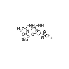 C[C@H]1CN/C(=C(\C=N)N2CC(S(C)(=O)=O)CC2=O)CN1C(=O)OC(C)(C)C